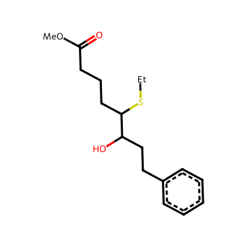 CCSC(CCCC(=O)OC)C(O)CCc1ccccc1